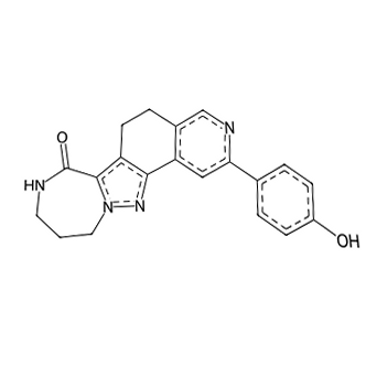 O=C1NCCCn2nc3c(c21)CCc1cnc(-c2ccc(O)cc2)cc1-3